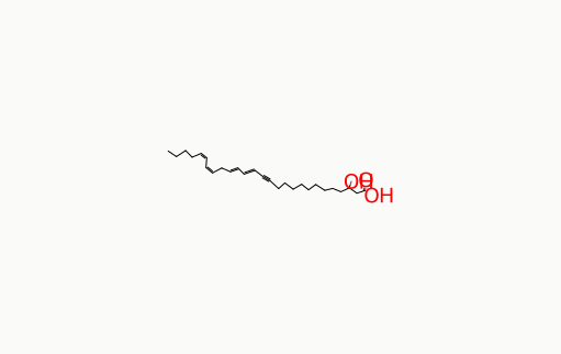 CCCC/C=C\C=C/C/C=C/C=C/C#CCCCCCCCCCC(O)CC(=O)O